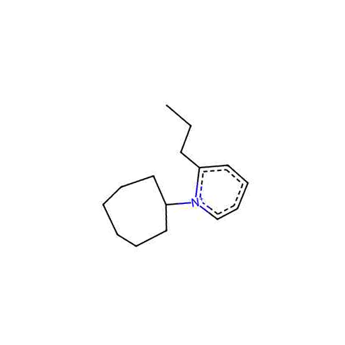 CCCc1cccc[n+]1C1CCCCCC1